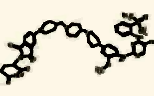 COc1cc(C2CCN(C3CCN(CC4CCN(c5ccc6c(c5)C(=O)N(C5CCC(=O)NC5=O)C6=O)CC4)CC3)CC2)ccc1Nc1ncc(Cl)c(Nc2ccccc2P(C)(C)=O)n1